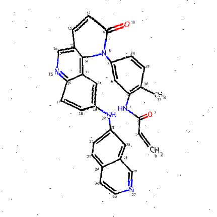 C=CC(=O)Nc1cc(-n2c(=O)ccc3cnc4ccc(Nc5ccc6ccncc6c5)cc4c32)ccc1C